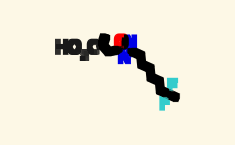 C=C(Cc1nc(CCCCCCC(C)(F)F)no1)C(=O)O